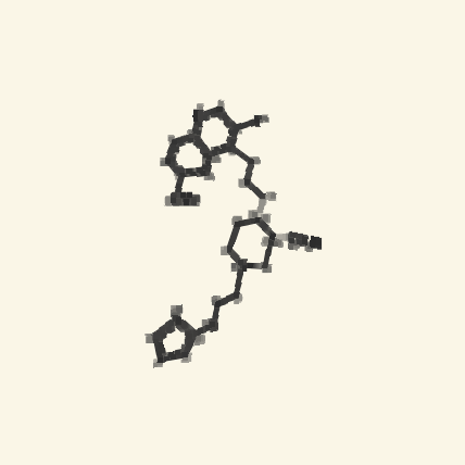 COc1ccc2ncc(F)c(CCC[C@H]3CCN(CCSc4cccs4)C[C@H]3C(=O)O)c2c1